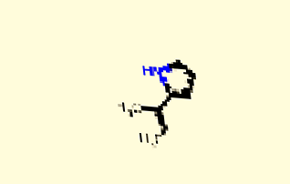 CC=C(C)c1ccc[nH]1